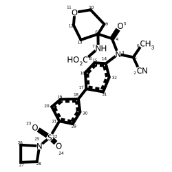 CC(C#N)N(C(=O)C1(NC(=O)O)CCOCC1)c1ccc(-c2ccc(S(=O)(=O)N3CCC3)cc2)cc1